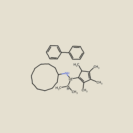 CC1=C(C)C(C)[C]([Hf]([NH]C2CCCCCCCCCC2)[SiH](C)C)=C1C.c1ccc(-c2ccccc2)cc1